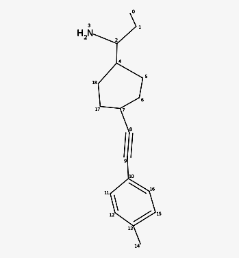 CCC(N)C1CCC(C#Cc2ccc(C)cc2)CC1